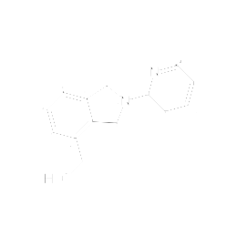 CCc1cccc2c1CN(c1ccccn1)C2